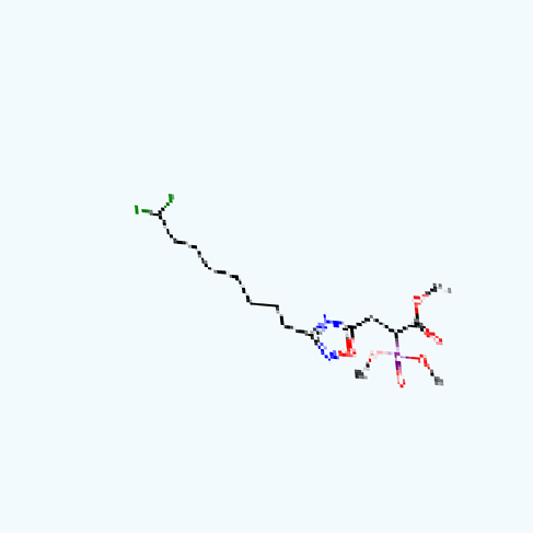 CCOP(=O)(OCC)C(Cc1nc(CCCCCCCC(F)F)no1)C(=O)OC(C)(C)C